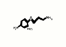 Cl.NCCCOc1ccc(N)cc1